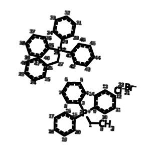 CC[P+](c1ccccc1)(c1ccccc1)c1ccccc1.[Br-].[Cl-].c1ccc(C[P+](c2ccccc2)(c2ccccc2)c2ccccc2)cc1